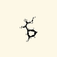 O=C(OF)C(F)c1cccc(F)c1